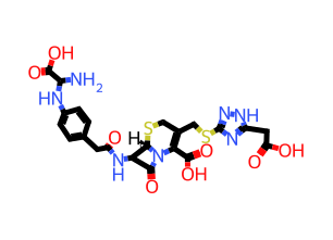 NC(Nc1ccc(CC(=O)NC2C(=O)N3C(C(=O)O)=C(CSc4n[nH]c(CC(=O)O)n4)CS[C@@H]23)cc1)C(=O)O